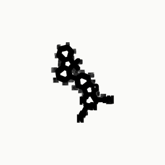 CC1(C)c2ccccc2-c2cccc(-c3ccc4oc5c(C#N)nc(C#N)nc5c4c3)c21